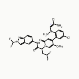 COc1cn(C(CC(F)F)C(=O)Nc2ccc3nn(C(F)F)cc3c2)c(=O)cc1-c1cc(Cl)ccc1N(N)/C=C(\N)Cl